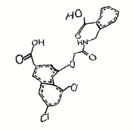 O=C(COc1cc(C(=O)O)cc2cc(Cl)cc(Cl)c12)NCc1ccccc1C(=O)O